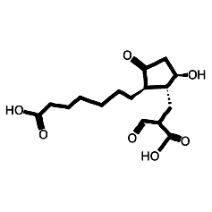 O=CC(C[C@H]1[C@H](O)CC(=O)[C@@H]1CCCCCCC(=O)O)C(=O)O